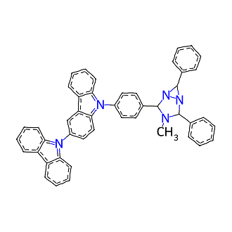 CN1C(c2ccccc2)N2C(c3ccccc3)N2C1c1ccc(-n2c3ccccc3c3cc(-n4c5ccccc5c5ccccc54)ccc32)cc1